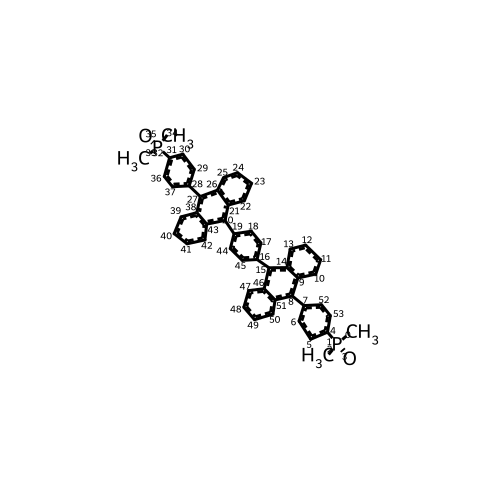 CP(C)(=O)c1ccc(-c2c3ccccc3c(-c3ccc(-c4c5ccccc5c(-c5ccc(P(C)(C)=O)cc5)c5ccccc45)cc3)c3ccccc23)cc1